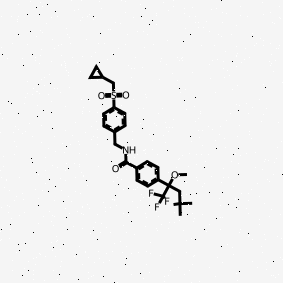 COC(CC(C)(C)C)(c1ccc(C(=O)NCc2ccc(S(=O)(=O)CC3CC3)cc2)cc1)C(F)(F)F